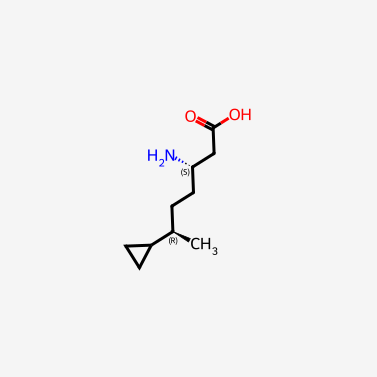 C[C@H](CC[C@H](N)CC(=O)O)C1CC1